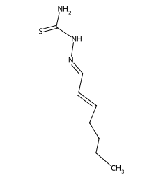 CCCCC=CC=NNC(N)=S